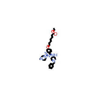 CCOC(=O)CCCCCCOc1ccc2c(NC3CCN(Cc4ccccc4)CC3)nc(N3CCCN(C)CC3)nc2c1